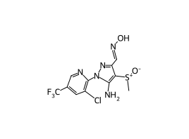 C[S+]([O-])c1c(/C=N/O)nn(-c2ncc(C(F)(F)F)cc2Cl)c1N